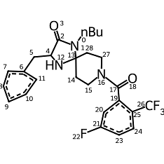 CCCCN1C(=O)C(Cc2ccccc2)NC12CCN(C(=O)c1cc(F)ccc1C(F)(F)F)CC2